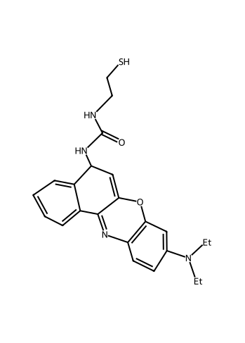 CCN(CC)c1ccc2c(c1)OC1=CC(NC(=O)NCCS)c3ccccc3C1=N2